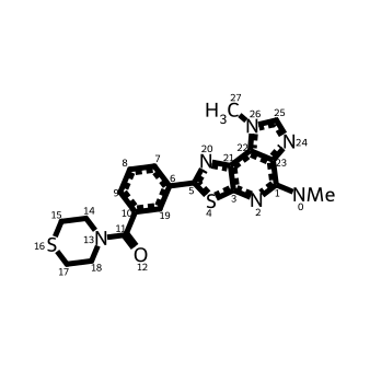 CNc1nc2sc(-c3cccc(C(=O)N4CCSCC4)c3)nc2c2c1ncn2C